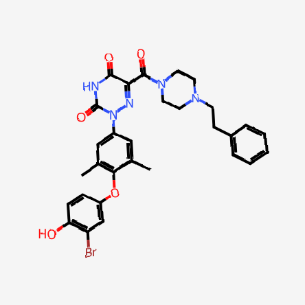 Cc1cc(-n2nc(C(=O)N3CCN(CCc4ccccc4)CC3)c(=O)[nH]c2=O)cc(C)c1Oc1ccc(O)c(Br)c1